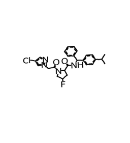 CC(C)c1ccc(C(NC(=O)C2CC(F)CN2C(=O)Cn2cc(Cl)cn2)c2ccccc2)cc1